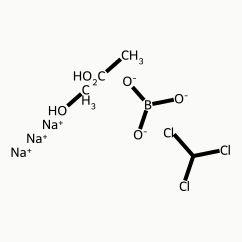 CC(=O)O.CO.ClC(Cl)Cl.[Na+].[Na+].[Na+].[O-]B([O-])[O-]